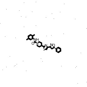 Cc1ccc(C)c(NC(=O)N2CCC(c3nc(C4=NO[C@@H](c5ccccc5)C4)cs3)CC2)c1